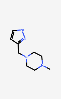 CN1CCN(Cc2cc[nH]n2)CC1